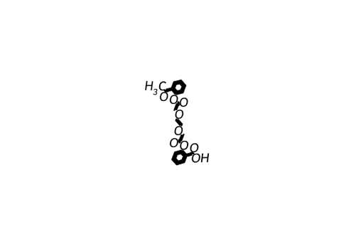 CC(=O)c1ccccc1OC(=O)COCCOCC(=O)Oc1ccccc1C(=O)O